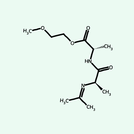 COCCOC(=O)[C@H](C)NC(=O)[C@@H](C)N=C(C)C